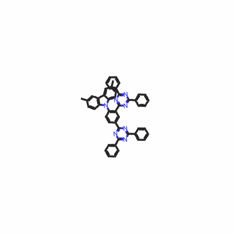 Cc1ccc2c(c1)c1cc(C)ccc1n2-c1ccc(-c2nc(-c3ccccc3)nc(-c3ccccc3)n2)cc1-c1nc(-c2ccccc2)nc(-c2ccccc2)n1